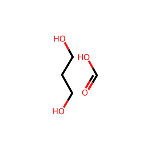 O=CO.OCCCO